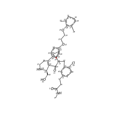 CNC(=O)CCc1ccc(Cl)c(CN(C(=O)C2=C(c3ccc(OCCOc4c(C)cccc4C)cc3)CCN[C@@H]2CO)C2CC2)c1